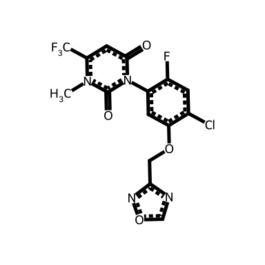 Cn1c(C(F)(F)F)cc(=O)n(-c2cc(OCc3ncon3)c(Cl)cc2F)c1=O